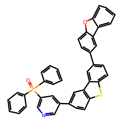 O=P(c1ccccc1)(c1ccccc1)c1cncc(-c2ccc3sc4ccc(-c5ccc6oc7ccccc7c6c5)cc4c3c2)c1